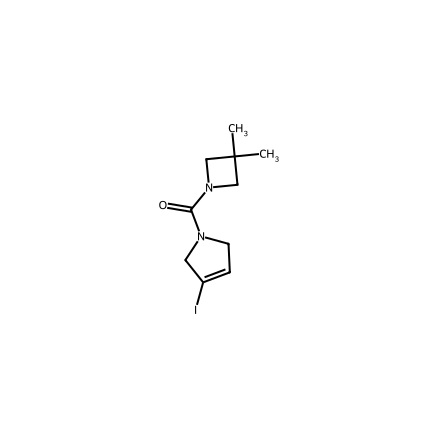 CC1(C)CN(C(=O)N2CC=C(I)C2)C1